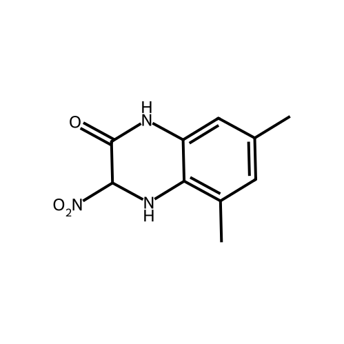 Cc1cc(C)c2c(c1)NC(=O)C([N+](=O)[O-])N2